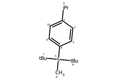 CC(C)c1ccc(S(C)(C(C)(C)C)C(C)(C)C)cc1